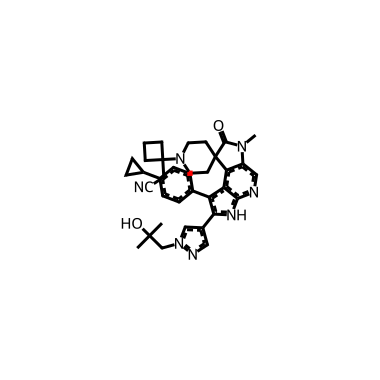 CN1C(=O)C2(CCN(C3(CC#N)CCC3)CC2)c2c1cnc1[nH]c(-c3cnn(CC(C)(C)O)c3)c(-c3ccc(C4CC4)cc3)c21